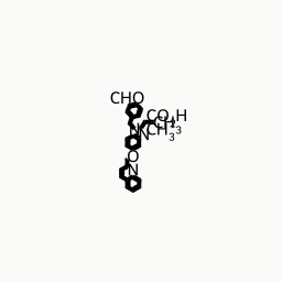 CC(C)(Cc1nc2cc(OCc3ccc4ccccc4n3)ccc2n1Cc1ccc(C=O)cc1)C(=O)O